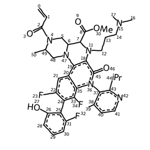 C=CC(=O)N1CC2C(C(=O)OC)N(CCCN(C)C)c3c(c4cc(F)c(-c5c(O)cccc5F)c(F)c4n(-c4c(C)ccnc4C(C)C)c3=O)N2CC1C